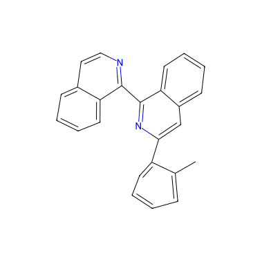 Cc1ccccc1-c1cc2ccccc2c(-c2nccc3ccccc23)n1